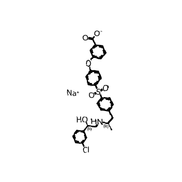 C[C@H](Cc1ccc(S(=O)(=O)c2ccc(Oc3cccc(C(=O)[O-])c3)cc2)cc1)NC[C@H](O)c1cccc(Cl)c1.[Na+]